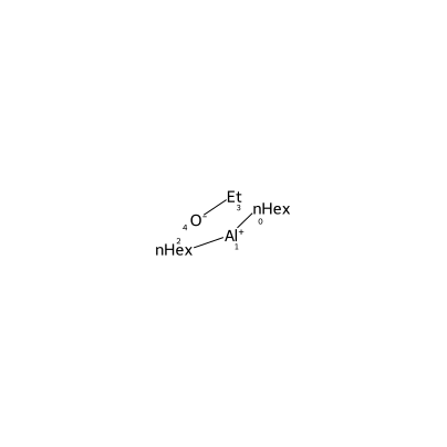 CCCCC[CH2][Al+][CH2]CCCCC.CC[O-]